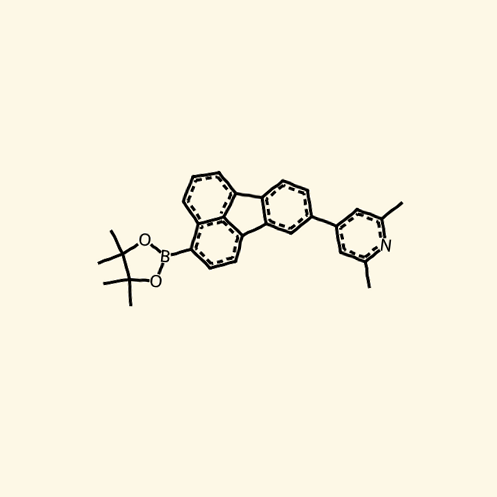 Cc1cc(-c2ccc3c(c2)-c2ccc(B4OC(C)(C)C(C)(C)O4)c4cccc-3c24)cc(C)n1